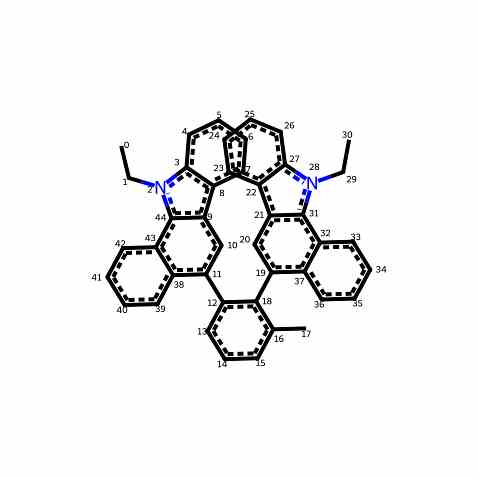 CCn1c2ccccc2c2cc(-c3cccc(C)c3-c3cc4c5ccccc5n(CC)c4c4ccccc34)c3ccccc3c21